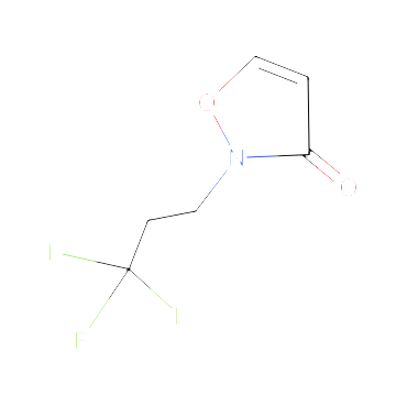 O=c1ccon1CCC(F)(F)F